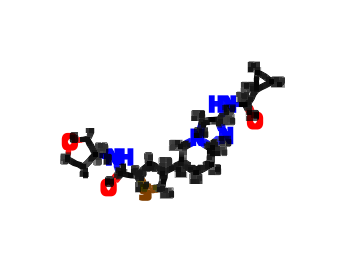 O=C(N[C@H]1CCOC1)c1cc(-c2ccc3nc(NC(=O)C4CC4)cn3c2)cs1